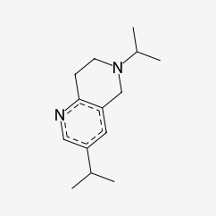 CC(C)c1cnc2c(c1)CN(C(C)C)CC2